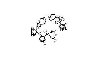 Cc1c(S(=O)(=O)N[C@@H]2CC[C@@H](CN3CCC4(CC3)CN(c3ncncc3Oc3ccc(F)cc3C(=O)N(CC(F)F)C(C)C)C4)OC2)cnn1C